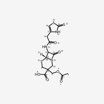 CC(=O)OCC1(C(=O)O)CS[C@@H]2C(NC(=O)Cc3csc(=S)[nH]3)C(=O)N2C1